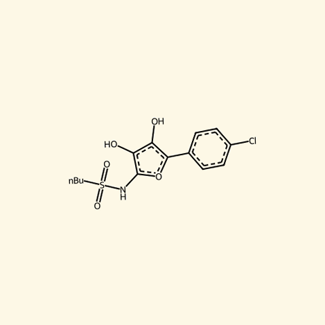 CCCCS(=O)(=O)Nc1oc(-c2ccc(Cl)cc2)c(O)c1O